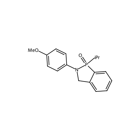 COc1ccc(N2Cc3ccccc3P2(=O)C(C)C)cc1